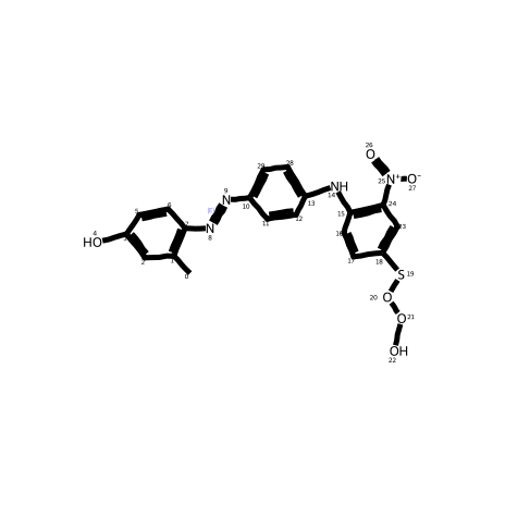 Cc1cc(O)ccc1/N=N/c1ccc(Nc2ccc(SOOO)cc2[N+](=O)[O-])cc1